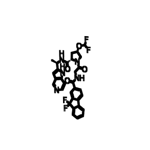 C[C@@H](NC(=O)[C@@H]1C[C@@H](OC(F)F)CN1C(=O)CNC(=O)c1ccc2c(c1)C(F)(F)c1ccccc1-2)c1cc2cnccc2[nH]1